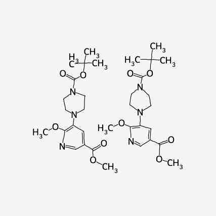 COC(=O)c1cnc(OC)c(N2CCN(C(=O)OC(C)(C)C)CC2)c1.COC(=O)c1cnc(OC)c(N2CCN(C(=O)OC(C)(C)C)CC2)c1